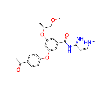 CN/C=C\C(=N)NC(=O)c1cc(Oc2ccc(C(C)=O)cc2)cc(O[C@@H](C)COC)c1